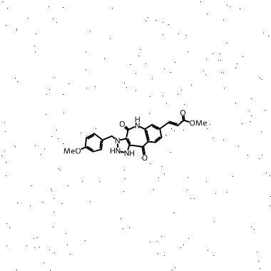 COC(=O)C=Cc1ccc2c(=O)c3c(c(=O)[nH]c2c1)N(Cc1ccc(OC)cc1)NN3